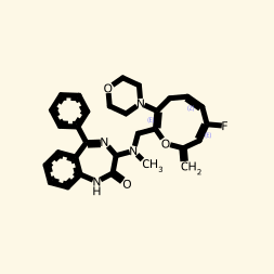 C=C1/C=C(F)\C=C/C/C(N2CCOCC2)=C(/CN(C)C2N=C(c3ccccc3)c3ccccc3NC2=O)O1